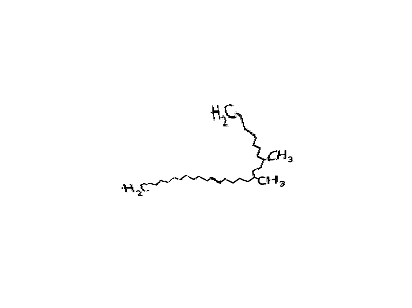 [CH2]CCCCCCCCCC/C=C/CCCCC(C)CCC(C)CCCCCC[CH2]